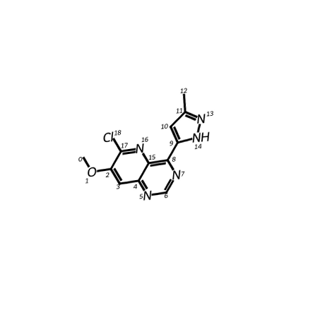 COc1cc2ncnc(-c3cc(C)n[nH]3)c2nc1Cl